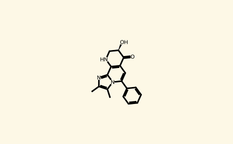 Cc1nc2c3c(cc(-c4ccccc4)n2c1C)C(=O)[C@H](O)CN3